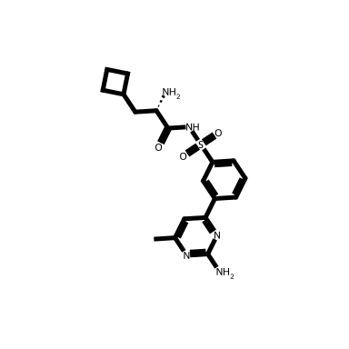 Cc1cc(-c2cccc(S(=O)(=O)NC(=O)[C@@H](N)CC3CCC3)c2)nc(N)n1